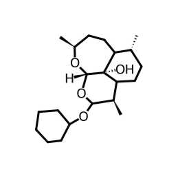 C[C@H]1C(OC2CCCCC2)O[C@@H]2O[C@@H](C)CCC3[C@H](C)CCC1[C@]32O